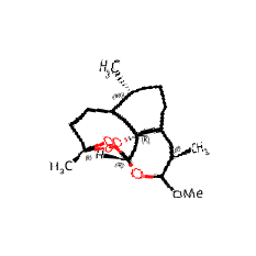 COC1O[C@@H]2O[C@@]3(C)CCC4[C@H](C)CCC([C@H]1C)[C@]42OO3